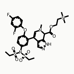 CCS(=O)(=O)N(c1ccc(Oc2ccc(F)cc2F)c(C2=CN(C)C(C(=O)OCC[Si](C)(C)C)c3[nH]ncc32)c1)S(=O)(=O)CC